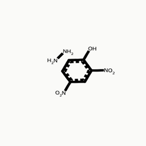 NN.O=[N+]([O-])c1ccc(O)c([N+](=O)[O-])c1